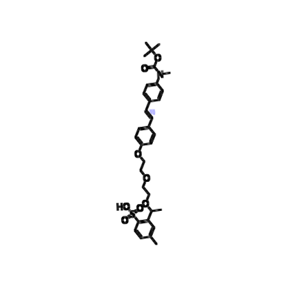 Cc1ccc(S(=O)(=O)O)c(C(C)OCCOCCOc2ccc(/C=C/c3ccc(N(C)C(=O)OC(C)(C)C)cc3)cc2)c1